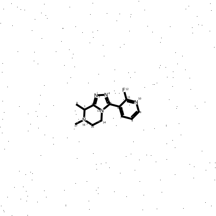 CC1c2nnc(-c3cccnc3F)n2CCN1C